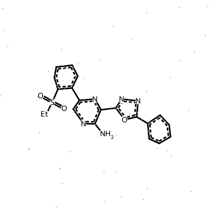 CCS(=O)(=O)c1ccccc1-c1cnc(N)c(-c2nnc(-c3ccccc3)o2)n1